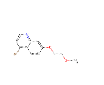 COCCOc1ccc2c(Br)ccnc2c1